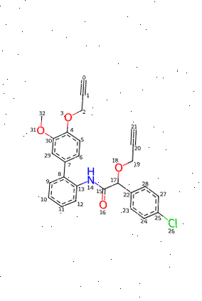 C#CCOc1ccc(-c2ccccc2NC(=O)C(OCC#C)c2ccc(Cl)cc2)cc1OC